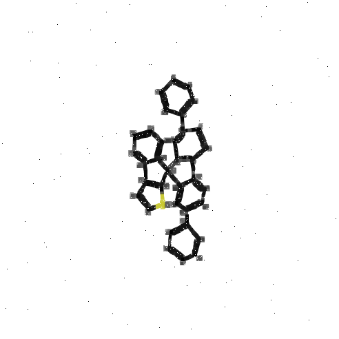 c1ccc(-c2ccc3c(c2)C2(c4cc(-c5ccccc5)ccc4-3)c3ccccc3-c3ccsc32)cc1